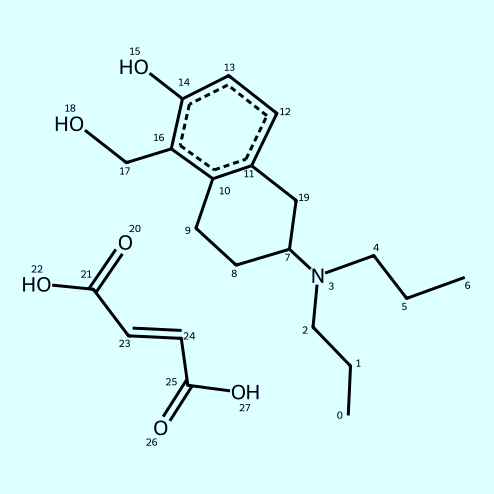 CCCN(CCC)C1CCc2c(ccc(O)c2CO)C1.O=C(O)C=CC(=O)O